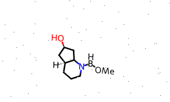 COBN1CCC[C@H]2C[C@@H](O)CC21